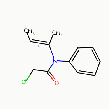 C/C=C(\C)N(C(=O)CCl)c1ccccc1